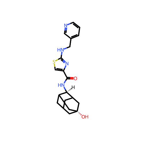 O=C(N[C@H]1C2CC3CC1C[C@](O)(C3)C2)c1csc(NCc2cccnc2)n1